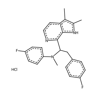 Cc1[nH]c2c(C(Cc3ccc(F)cc3)N(C)c3ccc(F)cc3)nccc2c1C.Cl